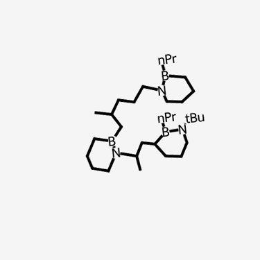 CCCB1CCCCN1CCCC(C)CB1CCCCN1C(C)CC1CCCN(C(C)(C)C)B1CCC